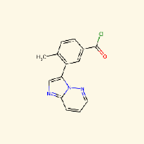 Cc1ccc(C(=O)Cl)cc1-c1cnc2cccnn12